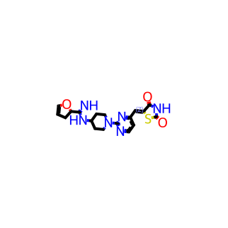 N=C(NC1CCN(c2nccc(/C=C3\SC(=O)NC3=O)n2)CC1)C1CC=CO1